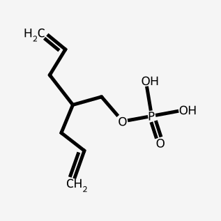 C=CCC(CC=C)COP(=O)(O)O